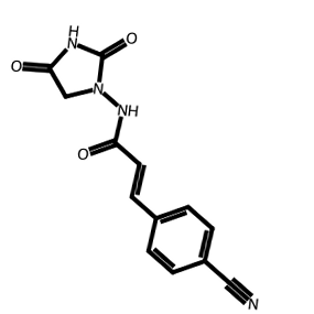 N#Cc1ccc(C=CC(=O)NN2CC(=O)NC2=O)cc1